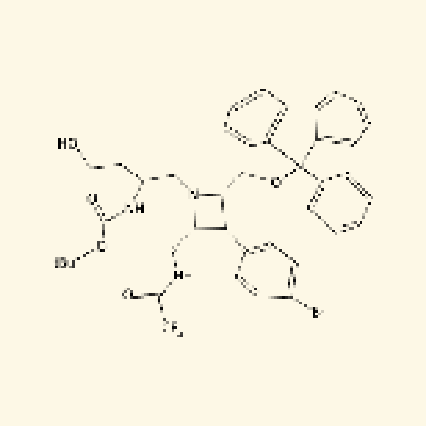 CC(C)(C)OC(=O)NC(CCO)CN1[C@H](COC(c2ccccc2)(c2ccccc2)c2ccccc2)[C@H](c2ccc(Br)cc2)[C@@H]1CNC(=O)C(F)(F)F